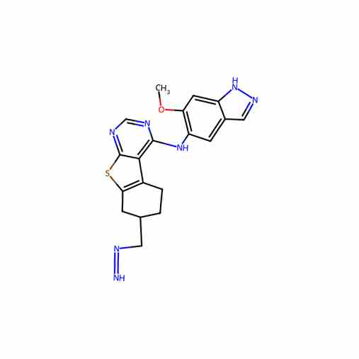 COc1cc2[nH]ncc2cc1Nc1ncnc2sc3c(c12)CCC(CN=N)C3